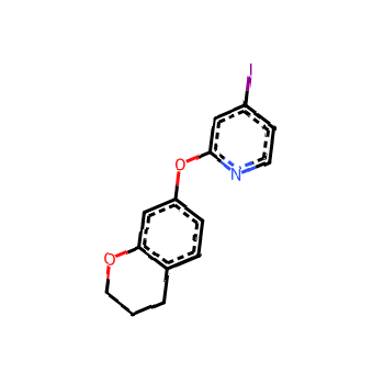 Ic1ccnc(Oc2ccc3c(c2)OCCC3)c1